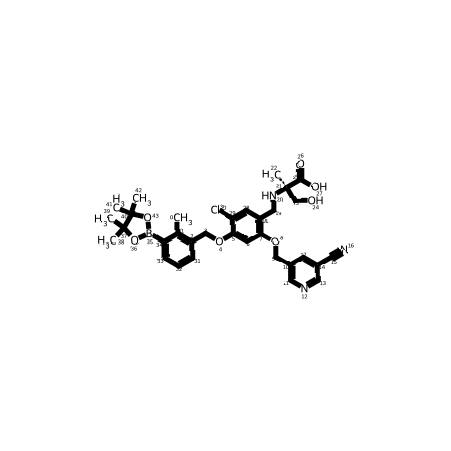 Cc1c(COc2cc(OCc3cncc(C#N)c3)c(CN[C@](C)(CO)C(=O)O)cc2Cl)cccc1B1OC(C)(C)C(C)(C)O1